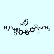 C1COCCN1.CCCNC(=O)c1ccc(-c2ccc(-c3ccc(C(=O)NCCC)cc3)o2)cc1